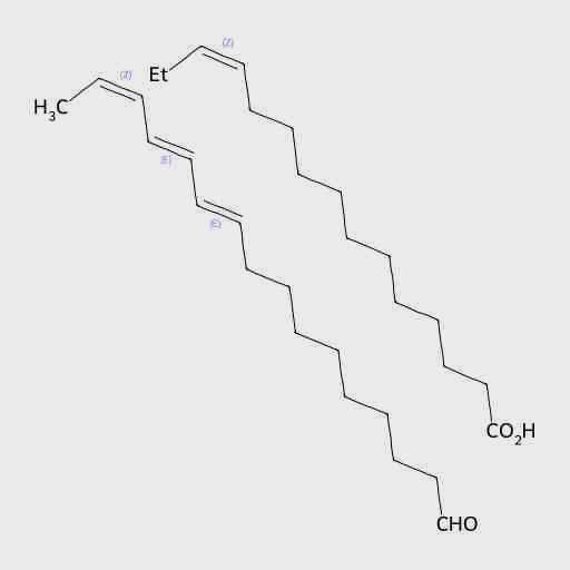 CC/C=C\CCCCCCCCCCC(=O)O.C\C=C/C=C/C=C/CCCCCCCCC=O